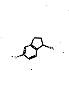 NC1COc2cc(Br)ccc21